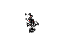 COc1ccc(CN(c2nn(C)c3c(-n4c([C@H](Cc5cc(F)cc(F)c5)NC(=O)Cn5nc(C(F)F)c6c5C(F)(F)[C@@H]5C[C@H]65)nc5ncc(C#N)cc5c4=O)ccc(Cl)c23)S(C)(=O)=O)cc1